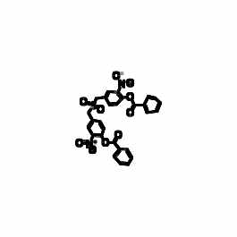 O=C(Oc1ccc(CS(=O)(=O)Cc2ccc(OC(=O)c3ccccc3)c([N+](=O)[O-])c2)cc1[N+](=O)[O-])c1ccccc1